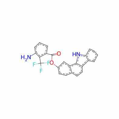 Nc1cccc(C(=O)Oc2ccc3ccc4c5ccccc5[nH]c4c3c2)c1C(F)(F)F